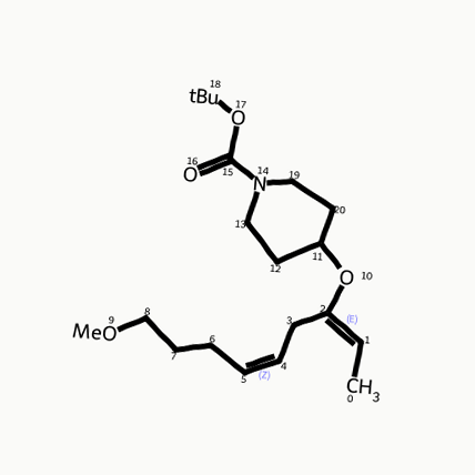 C/C=C(\C/C=C\CCCOC)OC1CCN(C(=O)OC(C)(C)C)CC1